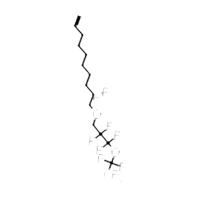 C=CCCCCCC[C@H](F)COCC(F)(F)C(F)(F)OC(F)(F)C(F)(F)F